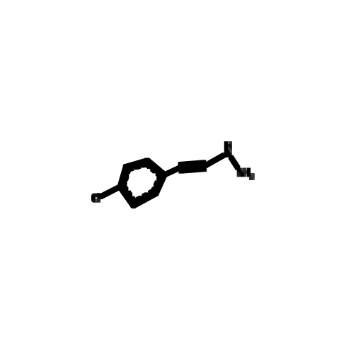 NNC#Cc1ccc(Cl)cc1